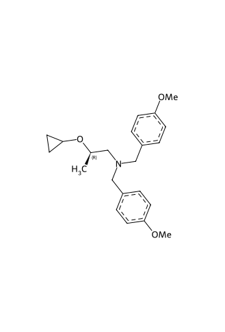 COc1ccc(CN(Cc2ccc(OC)cc2)C[C@@H](C)OC2CC2)cc1